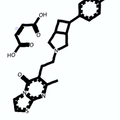 Cc1nc2sccn2c(=O)c1CCN1CC2CC(c3ccc(F)cc3)C2C1.O=C(O)/C=C\C(=O)O